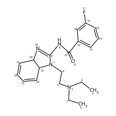 CCN(CC)CCN1C(NC(=O)c2cccc(F)c2)=NC2C=CC=CC21